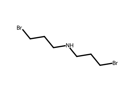 BrCCCNCCCBr